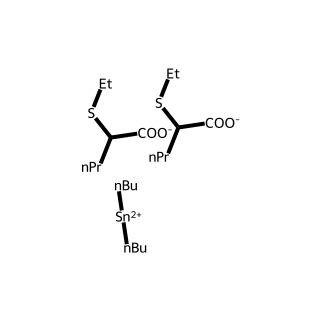 CCCC(SCC)C(=O)[O-].CCCC(SCC)C(=O)[O-].CCC[CH2][Sn+2][CH2]CCC